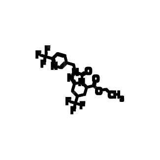 CCOC(=O)C1CC(C(F)(F)F)Cc2nn(Cc3ccc(C(F)(F)F)nc3)c(=O)n21